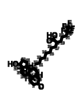 C[C@]12CCC(=O)C[C@@H]1C[C@@H](CCCCCCCCC(CCCC(F)(F)C(F)(F)F)C(=O)O)[C@@H]1[C@@H]2CC[C@]2(C)[C@@H](O)CC[C@@H]12